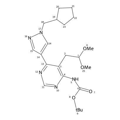 COC(Cc1c(NC(=O)OC(C)(C)C)ncnc1-c1cnn(CC2CCCC2)c1)OC